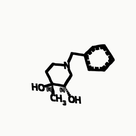 C[C@@]1(O)CCN(Cc2ccccc2)C[C@@H]1O